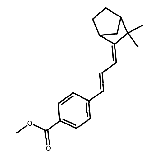 COC(=O)c1ccc(C=CC=C2C3CCC(C3)C2(C)C)cc1